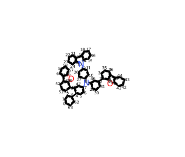 c1ccc(-c2ccc(N(c3ccc(-n4c5ccccc5c5ccccc54)cc3)c3cccc(-c4cccc5c4oc4ccccc45)c3)cc2-c2cccc3c2oc2ccccc23)cc1